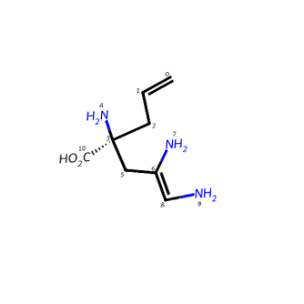 C=CC[C@](N)(CC(N)=CN)C(=O)O